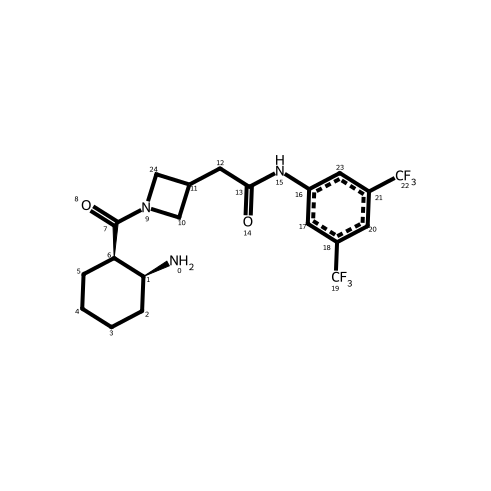 N[C@H]1CCCC[C@H]1C(=O)N1CC(CC(=O)Nc2cc(C(F)(F)F)cc(C(F)(F)F)c2)C1